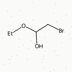 CCOC(O)CBr